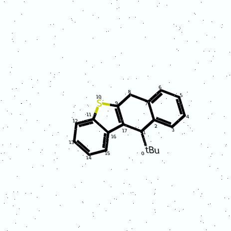 CC(C)(C)C1c2ccccc2Cc2sc3ccccc3c21